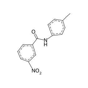 Cc1ccc(NC(=O)c2cccc([N+](=O)[O-])c2)cc1